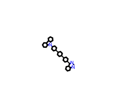 c1ccc2c(-c3ccc(-c4ccc(-c5ccc(-n6c7ccccc7c7ccccc76)cc5)cc4)cc3)ncnc2c1